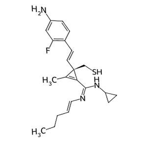 CCC/C=C/N=C(/NC1CC1)C1=C(C)[C@@]1(/C=C/c1ccc(N)cc1F)CS